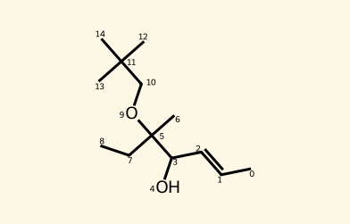 CC=CC(O)C(C)(CC)OCC(C)(C)C